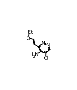 CCO/C=C/c1nncc(Cl)c1N